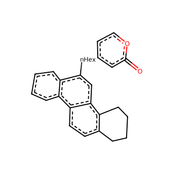 CCCCCCc1cc2c3c(ccc2c2ccccc12)CCCC3.O=c1cccco1